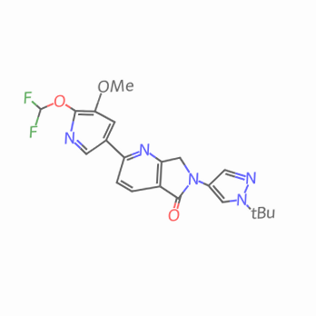 COc1cc(-c2ccc3c(n2)CN(c2cnn(C(C)(C)C)c2)C3=O)cnc1OC(F)F